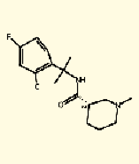 CN1CCC[C@H](C(=O)NC(C)(C)c2ccc(F)cc2Cl)C1